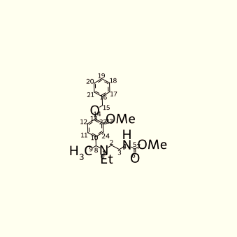 CCN(CCNC(=O)OC)C(C)c1ccc(OCc2ccccc2)c(OC)c1